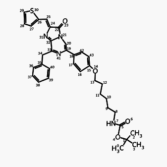 CC(C)(C)OC(=O)NCCCCCCOc1ccc(C2=CN3C(=O)/C(=C/c4cccs4)N=C3C(Cc3ccccc3)=N2)cc1